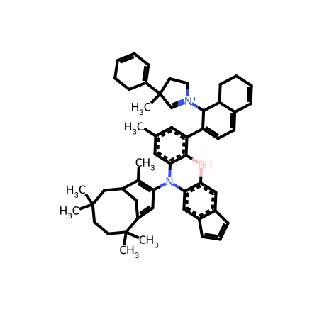 CC1=C(N2c3cc4c(cc3Bc3c(C5=CC=C6C=CCCC6C5[N+]5=CC(C)(C6=CC=CCC6)CC5)cc(C)cc32)C=C=C4)C=C2CC1CC(C)(C)CCC2(C)C